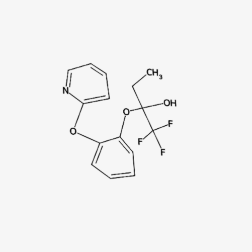 CCC(O)(Oc1ccccc1Oc1ccccn1)C(F)(F)F